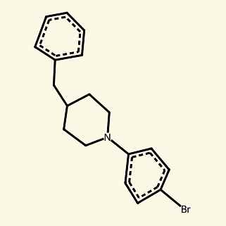 Brc1ccc(N2CCC(Cc3ccccc3)CC2)cc1